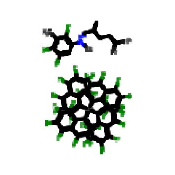 CCCC(CC)CCC(C)C[NH+](CC)c1cc(F)c(F)c(C(F)(F)F)c1F.Fc1c(F)c(F)c2c([B-](c3c(F)c(F)c(F)c4c(F)c(F)c(F)c(F)c34)(c3c(F)c(F)c(F)c4c(F)c(F)c(F)c(F)c34)c3c(F)c(F)c(F)c4c(F)c(F)c(F)c(F)c34)c(F)c(F)c(F)c2c1F